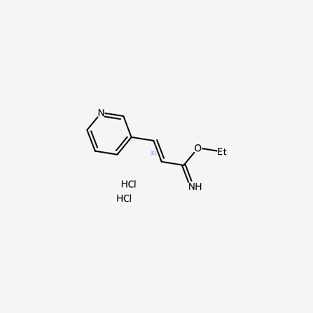 CCOC(=N)/C=C/c1cccnc1.Cl.Cl